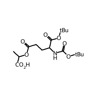 CC(OC(=O)CCC(NC(=O)OC(C)(C)C)C(=O)OC(C)(C)C)C(=O)O